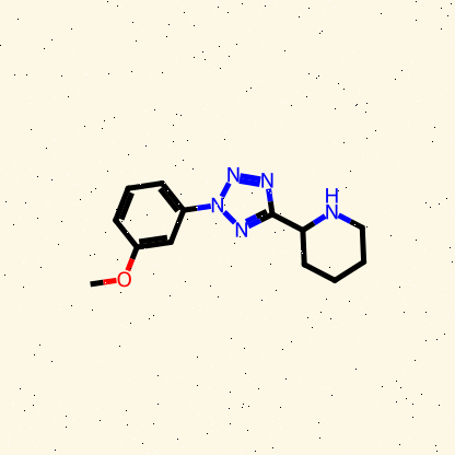 COc1cccc(-n2nnc(C3CCCCN3)n2)c1